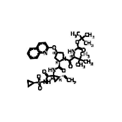 C=C[C@@H]1C[C@]1(NC(=O)[C@@H]1C[C@@H](Oc2ccc3ccccc3n2)CN1C(=O)[C@@H](NC(=O)OC(C)(C)C)C(C)(C)C)C(=O)NS(=O)(=O)C1CC1